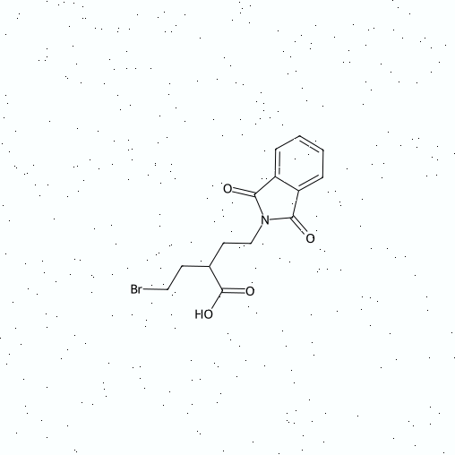 O=C(O)C(CCBr)CCN1C(=O)c2ccccc2C1=O